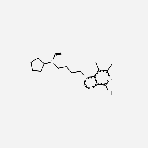 Cc1nc(N)c2ncn(CCCCN(C=O)C3CCCC3)c2c1C